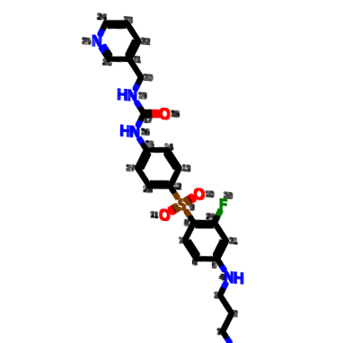 NCCCNc1ccc(S(=O)(=O)c2ccc(NC(=O)NCc3cccnc3)cc2)c(F)c1